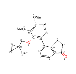 COc1ccc(-c2cccc3c2CCC3=O)c(OCC2(OC(C)=O)CC2)c1OC